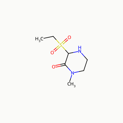 CCS(=O)(=O)C1NCCN(C)C1=O